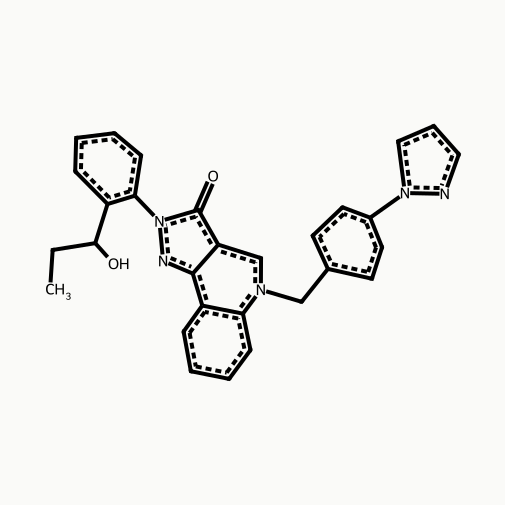 CCC(O)c1ccccc1-n1nc2c3ccccc3n(Cc3ccc(-n4cccn4)cc3)cc-2c1=O